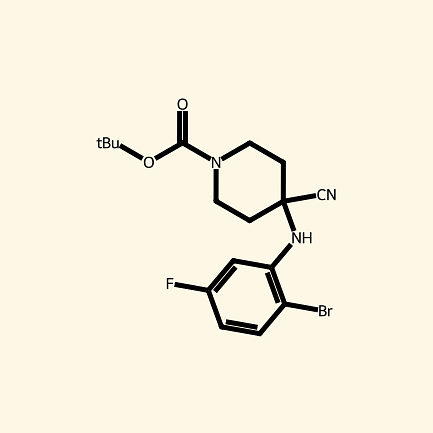 CC(C)(C)OC(=O)N1CCC(C#N)(Nc2cc(F)ccc2Br)CC1